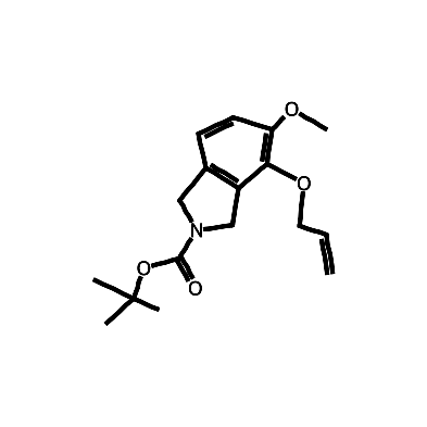 C=CCOc1c(OC)ccc2c1CN(C(=O)OC(C)(C)C)C2